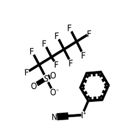 N#C[I+]c1ccccc1.O=S(=O)([O-])C(F)(F)C(F)(F)C(F)(F)C(F)(F)F